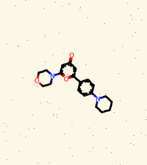 O=c1cc(-c2ccc(N3CCCCC3)cc2)oc(N2CCOCC2)c1